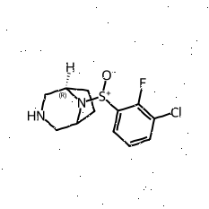 [O-][S+](c1cccc(Cl)c1F)N1C2CC[C@@H]1CNC2